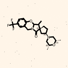 CC1C2Oc3ccc(C(F)(F)F)cc3CN2C(=O)[C@]12CC[C@@H](N1C[C@@H](C)O[C@@H](C)C1)C2